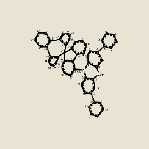 c1ccc(-c2ccc3c(c2)Oc2cc(-c4ccccc4)ccc2N3c2cccc3c2-c2ccccc2C32c3ccccc3-c3ccccc3-c3ccccc32)cc1